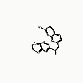 CC(C)c1ccc2ncc(CC(C)c3cnc4nccnc4c3)nc2n1